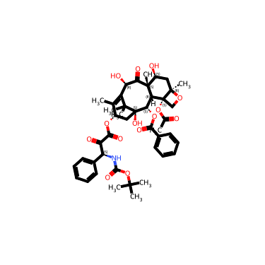 CC(=O)O[C@@]12CO[C@]1(C)C[C@H](O)[C@@]1(C)C(=O)[C@H](O)C3=C(C)[C@@H](OC(=O)C(=O)[C@@H](NC(=O)OC(C)(C)C)c4ccccc4)C[C@@](O)([C@@H](OC(=O)c4ccccc4)[C@@H]12)C3(C)C